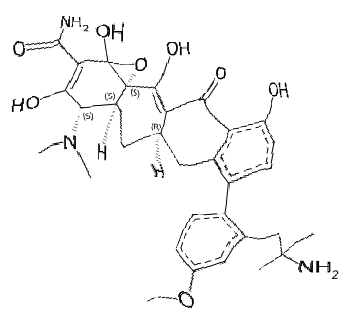 COc1ccc(-c2ccc(O)c3c2C[C@H]2C[C@H]4[C@H](N(C)C)C(O)=C(C(N)=O)C5(O)O[C@]45C(O)=C2C3=O)c(CC(C)(C)N)c1